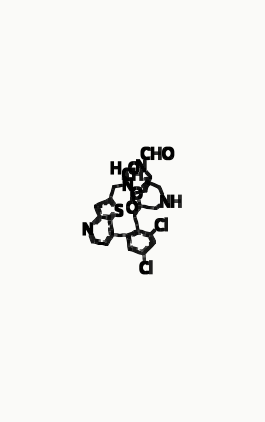 CN(C=O)/C=C\C(=O)N(C)Cc1cc2nccc(-c3cc(Cl)cc(Cl)c3CC3CNCCO3)c2s1